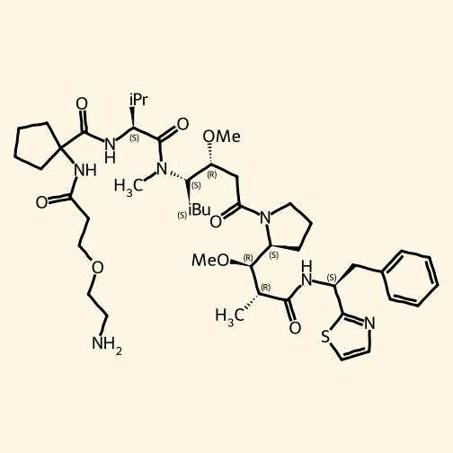 CC[C@H](C)[C@@H]([C@@H](CC(=O)N1CCC[C@H]1[C@H](OC)[C@@H](C)C(=O)N[C@@H](Cc1ccccc1)c1nccs1)OC)N(C)C(=O)[C@@H](NC(=O)C1(NC(=O)CCOCCN)CCCC1)C(C)C